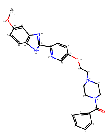 O=C(c1ccccc1)N1CCN(CCOc2ccc(-c3nc4cc(OC(F)(F)F)ccc4[nH]3)nc2)CC1